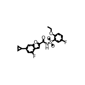 CCOc1ccc(F)cc1S(=O)(=O)NC(=O)c1cc2c(F)cc(C3CC3)cc2o1